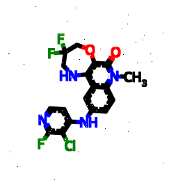 Cn1c(=O)c2c(c3cc(Nc4ccnc(F)c4Cl)ccc31)NCC(F)(F)CO2